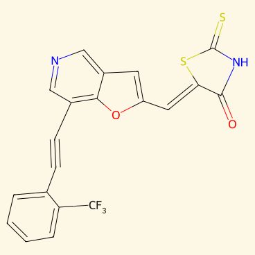 O=C1NC(=S)S/C1=C\c1cc2cncc(C#Cc3ccccc3C(F)(F)F)c2o1